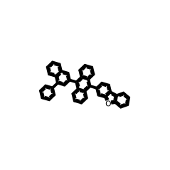 c1ccc(-c2cc(-c3c4ccccc4c(-c4ccc5c(c4)oc4ccccc45)c4ccccc34)cc3ccccc23)cc1